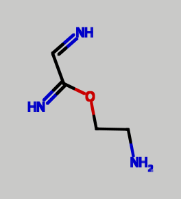 N=CC(=N)OCCN